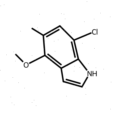 COc1c(C)cc(Cl)c2[nH]ccc12